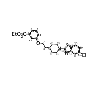 CCOC(=O)c1cccc(OCCC2CCN(c3nc4cc(Cl)ccc4s3)CC2)c1